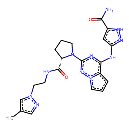 Cc1cnn(CCNC(=O)[C@@H]2CCCN2c2nc(Nc3cc(C(N)=O)[nH]n3)c3cccn3n2)c1